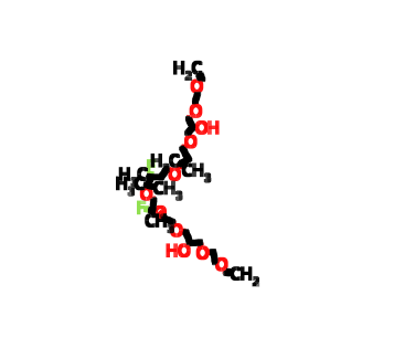 C=COCCOCC(O)COCCOC(C)(F)COC(C)(C)C(C)(F)CCOC(C)(C)CCOCC(O)COCCOC=C